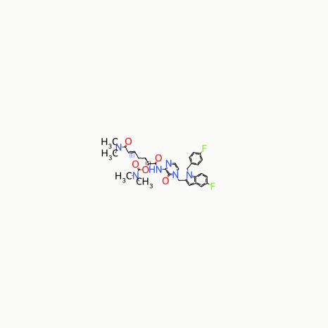 CN(C)C(=O)/C=C/CC[C@H](OC(=O)N(C)C)C(=O)Nc1nccn(Cc2cc3cc(F)ccc3n2Cc2ccc(F)cc2)c1=O